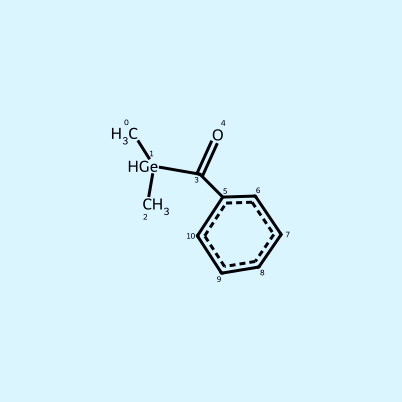 [CH3][GeH]([CH3])[C](=O)c1ccccc1